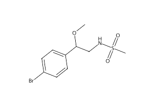 COC(CNS(C)(=O)=O)c1ccc(Br)cc1